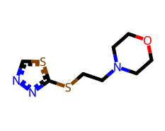 c1nnc(SCCN2CCOCC2)s1